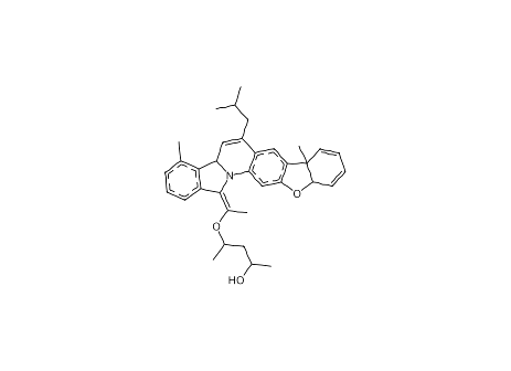 C/C(OC(C)CC(C)O)=C1/c2cccc(C)c2C2C=C(CC(C)C)c3cc4c(cc3N12)OC1C=CC=CC41C